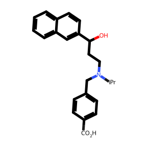 CC(C)N(CCC(O)c1ccc2ccccc2c1)Cc1ccc(C(=O)O)cc1